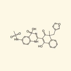 CC1(Cc2ccoc2)C(=O)C(C2=NP(=O)(O)c3cc(NS(C)(=O)=O)ccc3N2)=C(O)c2ccccc21